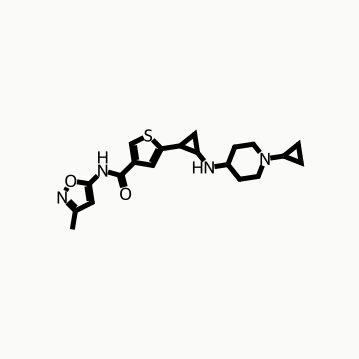 Cc1cc(NC(=O)c2csc(C3CC3NC3CCN(C4CC4)CC3)c2)on1